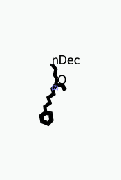 C=C1OC(CCCCCCCCCCCCC)/C1=C/CCCCc1ccccc1